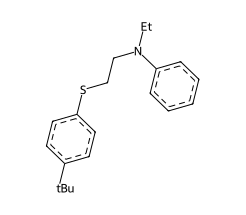 CCN(CCSc1ccc(C(C)(C)C)cc1)c1ccccc1